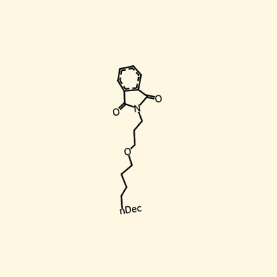 CCCCCCCCCCCCCCOCCCN1C(=O)c2ccccc2C1=O